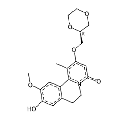 COc1cc2c(cc1O)CCn1c-2c(C)c(OC[C@@H]2COCCO2)cc1=O